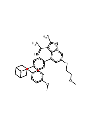 COCCOc1cc(-c2ccc(N3CC4CC(C3)N4Cc3ccc(OC)nc3)nc2)c2c(C(=N)N)c(N)nn2c1